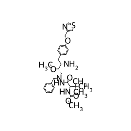 COC(=O)N[C@H](C(=O)NN(Cc1ccccc1)C[C@H](OC)[C@@H](N)Cc1ccc(OCc2cscn2)cc1)C(C)(C)C